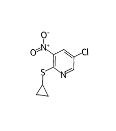 O=[N+]([O-])c1cc(Cl)cnc1SC1CC1